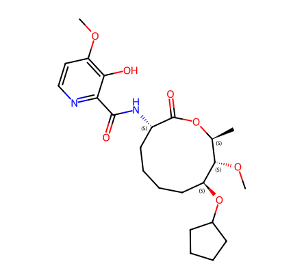 COc1ccnc(C(=O)N[C@H]2CCCC[C@H](OC3CCCC3)[C@@H](OC)[C@H](C)OC2=O)c1O